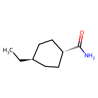 CC[C@H]1CC[C@H](C(N)=O)CC1